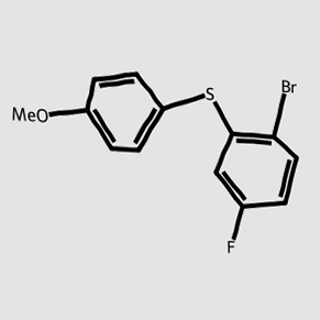 COc1ccc(Sc2cc(F)ccc2Br)cc1